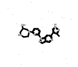 Cc1n[nH]cc1-c1cc2c(cn1)cnn2-c1cccc(N2CCNCC(O)C2)n1